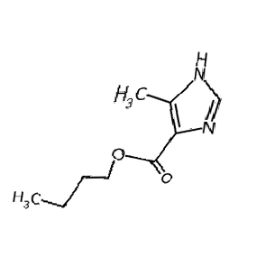 CCCCOC(=O)c1nc[nH]c1C